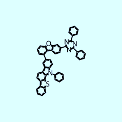 c1ccc(-c2nc(-c3ccccc3)nc(-c3ccc4c(c3)oc3cccc(-c5ccc6c(c5)c5ccc7c8ccccc8sc7c5n6-c5ccccc5)c34)n2)cc1